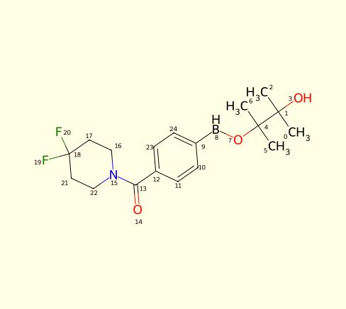 CC(C)(O)C(C)(C)OBc1ccc(C(=O)N2CCC(F)(F)CC2)cc1